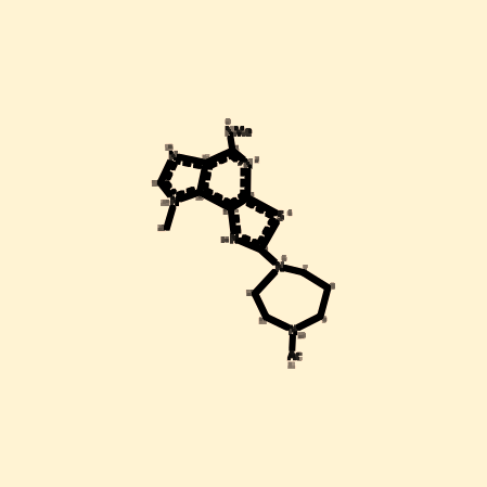 CNc1nc2sc(N3CCCN(C(C)=O)CC3)nc2c2c1ncn2C